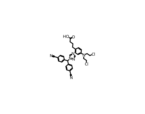 N#Cc1ccc(C(c2ccc(C#N)cc2)n2cncn2)cc1.O=C(O)CCCc1ccc(N(CCCl)CCCl)cc1